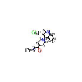 Cc1cc(N2CCC(C(=O)/C=C/C(C)C)CC2)c2ccccc2n1.[Cl-].[Li+]